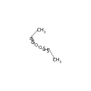 CCCCCCCCc1ccc(-c2ccc(-c3ccc(-c4ccc(-c5ccc(-c6ccc(CCCCCCCC)s6)s5)cc4)cc3)s2)s1